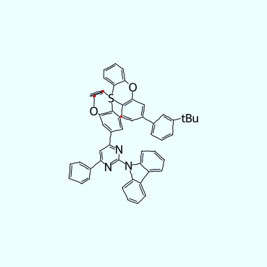 CC(C)(C)c1cccc(-c2ccc3c(c2)Oc2ccccc2S32c3ccccc3Oc3cc(-c4cc(-c5ccccc5)nc(-n5c6ccccc6c6ccccc65)n4)ccc32)c1